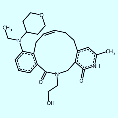 CCN(c1cccc2c1CC=CCCc1cc(C)[nH]c(=O)c1CN(CCO)C2=O)C1CCOCC1